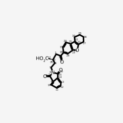 O=C(C[C@@H](CCN1C(=O)c2ccccc2C1=O)C(=O)O)c1ccc2c3c(oc2c1)CCCC3